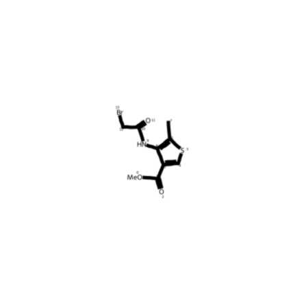 COC(=O)c1csc(C)c1NC(=O)CBr